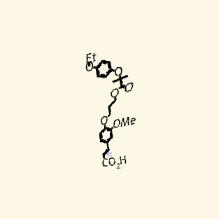 CCOc1ccc(OC(C)(C)C(=O)OCCCOc2ccc(/C=C/C(=O)O)cc2OC)cc1